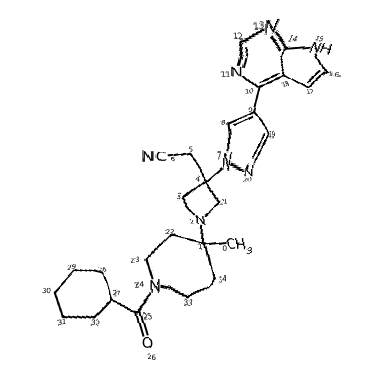 CC1(N2CC(CC#N)(n3cc(-c4ncnc5[nH]ccc45)cn3)C2)CCN(C(=O)C2CCCCC2)CC1